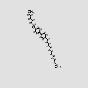 CCCCCCCCCCCCCCc1ccc(-c2ncc(OCCCCCCC)cn2)cc1